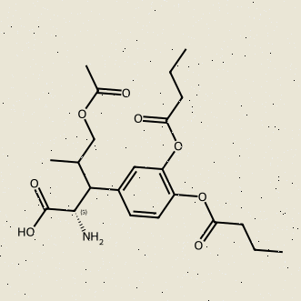 CCCC(=O)Oc1ccc(C(C(C)COC(C)=O)[C@H](N)C(=O)O)cc1OC(=O)CCC